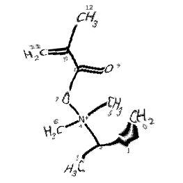 C=CC(C)[N+](C)(C)OC(=O)C(=C)C